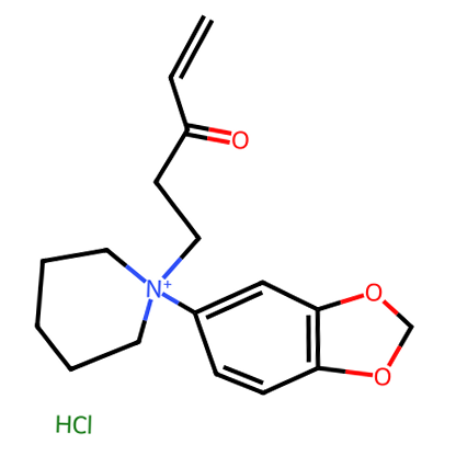 C=CC(=O)CC[N+]1(c2ccc3c(c2)OCO3)CCCCC1.Cl